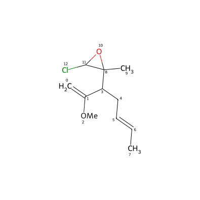 C=C(OC)C(CC=CC)C1(C)OC1Cl